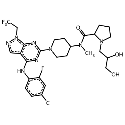 CN(C(=O)C1CCCN1CC(O)CO)C1CCN(c2nc(Nc3ccc(Cl)cc3F)c3cnn(CC(F)(F)F)c3n2)CC1